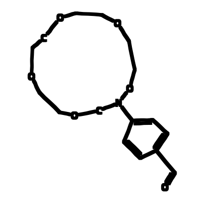 O=Cc1ccc(N2COCCOCCOCCOCCO2)cc1